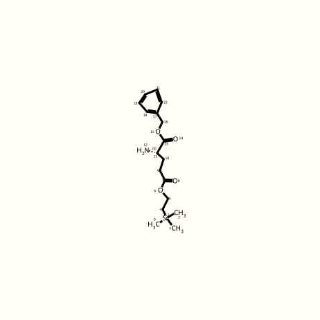 C[Si](C)(C)CCOC(=O)CC[C@H](N)C(=O)OCc1ccccc1